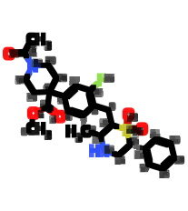 COC(=O)C1(c2ccc(CC3[C@H](C)NC[C@@H](c4ccccc4)S3(=O)=O)c(F)c2)CCN(C(C)=O)CC1